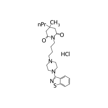 CCCC1(C)CC(=O)N(CCCCN2CCN(c3nsc4ccccc34)CC2)C(=O)C1.Cl